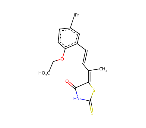 CC(/C=C/c1cc(C(C)C)ccc1OCC(=O)O)=C1\SC(=S)NC1=O